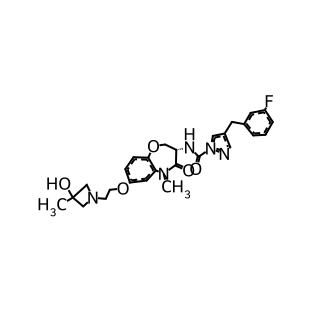 CN1C(=O)[C@@H](NC(=O)n2cc(Cc3cccc(F)c3)cn2)COc2ccc(OCCN3CC(C)(O)C3)cc21